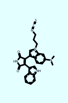 CN(C)c1ccc2c(C3=C(c4c[nH]c5ccccc45)C(=O)NC3=O)cn(CCCN=C=S)c2c1